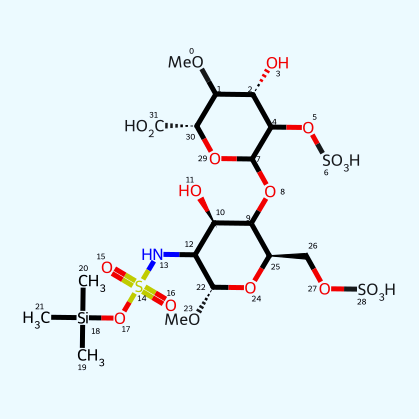 COC1[C@H](O)C(OS(=O)(=O)O)C(OC2[C@H](O)C(NS(=O)(=O)O[Si](C)(C)C)[C@@H](OC)O[C@@H]2COS(=O)(=O)O)O[C@@H]1C(=O)O